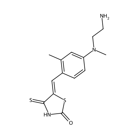 Cc1cc(N(C)CCN)ccc1/C=C1\SC(=O)NC1=S